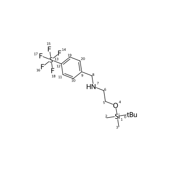 CC(C)(C)[Si](C)(C)OCCNCc1ccc(S(F)(F)(F)(F)F)cc1